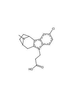 CN1C2CCC1c1c(n(CCC(=O)O)c3ccc(Cl)cc13)C2